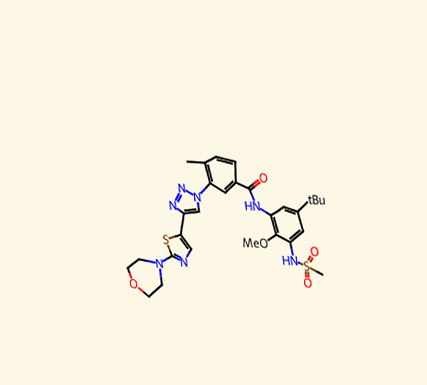 COc1c(NC(=O)c2ccc(C)c(-n3cc(-c4cnc(N5CCOCC5)s4)nn3)c2)cc(C(C)(C)C)cc1NS(C)(=O)=O